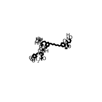 Cn1c(=O)n(C2CCC(=O)NC2=O)c2ccc(CCCCCCc3cc4c5c(c3)C[C@@H](C(=O)N[C@@H](CCC(N)=O)C(O)NCc3ccc(S(C)(=O)=O)cc3)N5C(=O)[C@@H](NC(=O)OC(C)(C)C)CC4)cc21